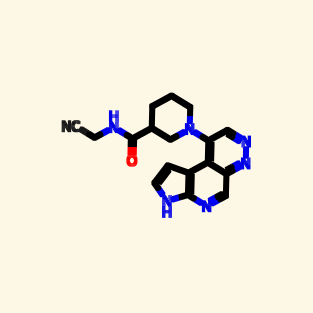 N#CCNC(=O)C1CCCN(c2cnnc3cnc4[nH]ccc4c23)C1